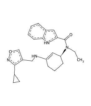 CCN(C(=O)c1cc2ccccc2[nH]1)[C@@H]1C=C(NCc2conc2C2CC2)CCC1